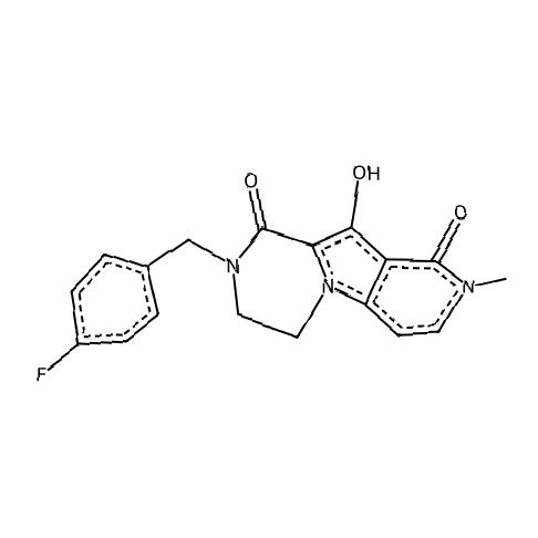 Cn1ccc2c(c(O)c3n2CCN(Cc2ccc(F)cc2)C3=O)c1=O